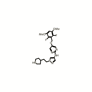 COc1cc(OC)c(F)c(COc2cnc(Nc3cnn(CCC4CCNCC4)c3)nc2)c1F